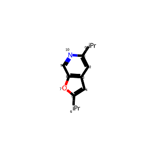 CC(C)c1cc2cc(C(C)C)oc2cn1